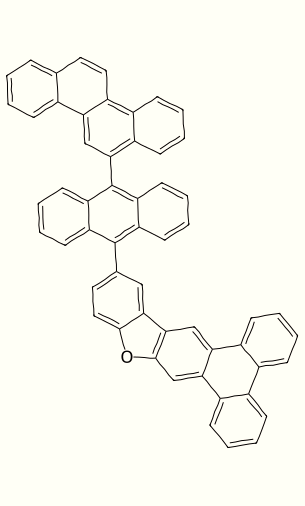 c1ccc2c(c1)ccc1c3ccccc3c(-c3c4ccccc4c(-c4ccc5oc6cc7c8ccccc8c8ccccc8c7cc6c5c4)c4ccccc34)cc21